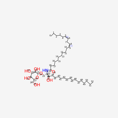 CCCCC/C=C\C/C=C\CCCCCCCCCC(=O)N[C@@H](COC1OC(CO)C(O)C(O)C1O)[C@H](O)CCCCCCCCCCCCCCC